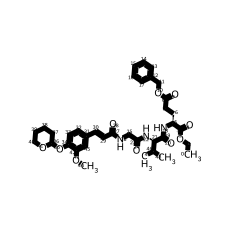 CCOC(=O)[C@@H](CCC(=O)OCc1ccccc1)NC(=O)[C@@H](NC(=O)CNC(=O)/C=C/c1ccc(OC2CCCCO2)c(OC)c1)C(C)C